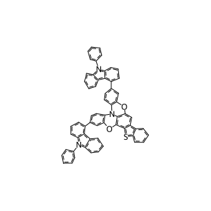 c1ccc(-n2c3ccccc3c3c(-c4ccc5c(c4)Oc4cc6c(sc7ccccc76)c6c4N5c4ccc(-c5cccc7c5c5ccccc5n7-c5ccccc5)cc4O6)cccc32)cc1